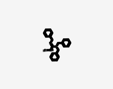 [CH2]CCNC(=NCc1ccccc1)N(Cc1ccccc1)Cc1ccccc1